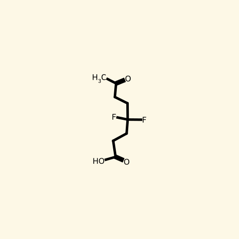 CC(=O)CCC(F)(F)CCC(=O)O